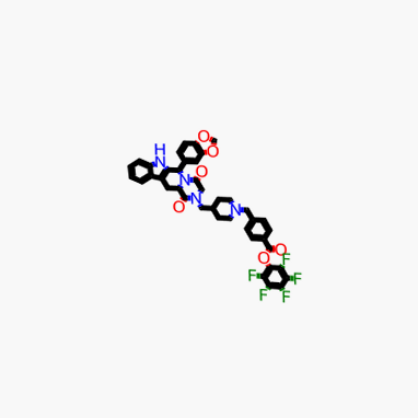 O=C(Oc1c(F)c(F)c(F)c(F)c1F)c1ccc(CN2CCC(CN3CC(=O)N4C(Cc5c([nH]c6ccccc56)C4c4ccc5c(c4)OCO5)C3=O)CC2)cc1